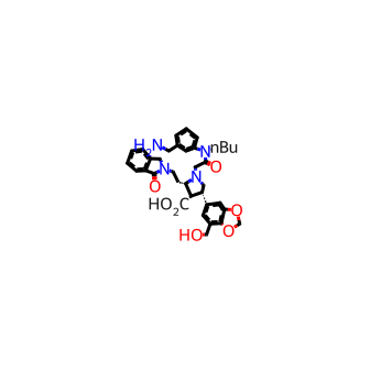 CCCCN(C(=O)CN1C[C@H](c2cc(CO)c3c(c2)OCO3)[C@@H](C(=O)O)[C@@H]1CCN1Cc2ccccc2C1=O)c1cccc(CN)c1